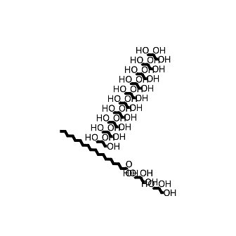 CCCCCCCCCCCCCCCCCC(=O)O.OCC(O)CO.OCC(O)CO.OCC(O)CO.OCC(O)CO.OCC(O)CO.OCC(O)CO.OCC(O)CO.OCC(O)CO.OCC(O)CO.OCC(O)CO.OCC(O)CO.OCC(O)CO